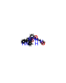 O=C(NCCCN1CCOCC1)N[C@@H]1CCCC[C@@H]1C(=O)N1CC[C@H]2[C@H](c3ccccc3)Nc3ccccc3[C@@H]21